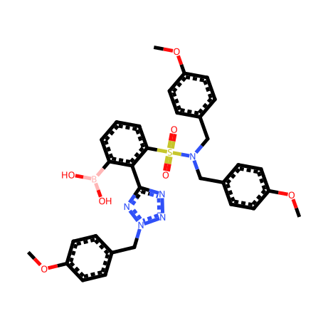 COc1ccc(CN(Cc2ccc(OC)cc2)S(=O)(=O)c2cccc(B(O)O)c2-c2nnn(Cc3ccc(OC)cc3)n2)cc1